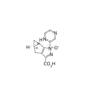 O=C(O)C1=N[N+]([O-])(c2cnccn2)C2=C1C[C@H]1C[C@@H]21